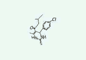 CC1=C(C(=O)CC(C)C)C(c2ccc(Cl)cc2)NC(=S)N1